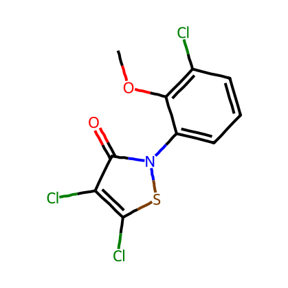 COc1c(Cl)cccc1-n1sc(Cl)c(Cl)c1=O